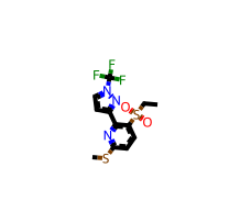 CCS(=O)(=O)c1ccc(SC)nc1-c1ccn(C(F)(F)F)n1